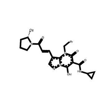 CC(C)Cn1c(=O)c(C(=O)NC2CC2)c(O)n2ncc(/C=C/C(=O)N3CCC[C@@H]3C#N)c12